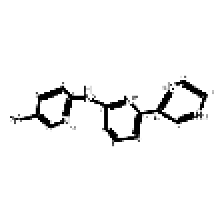 CC(C)c1ccc(Nc2cccc(-c3cnccn3)n2)nc1